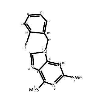 CSc1nc(SC)c2ncn(Cc3ccccc3F)c2n1